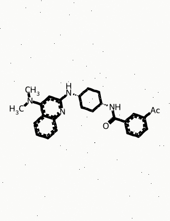 CC(=O)c1cccc(C(=O)N[C@H]2CC[C@@H](Nc3cc(N(C)C)c4ccccc4n3)CC2)c1